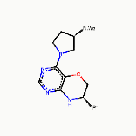 CN[C@@H]1CCN(c2ncnc3c2OC[C@@H](C(C)C)N3)C1